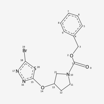 O=C(OCc1ccccc1)N1CCC(Oc2nnc(Br)s2)C1